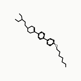 CCCCCCCOc1ccc(-c2ccc(C3=CCC(CCC(CC)CC)CC3)cc2)cc1